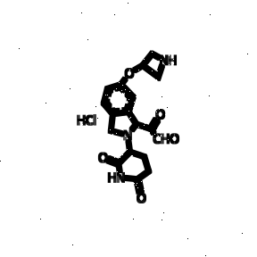 Cl.O=CC(=O)C1c2cc(OC3CNC3)ccc2CN1C1CCC(=O)NC1=O